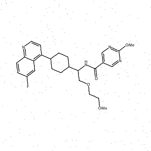 COCCOCC(NC(=O)c1cnc(OC)nc1)C1CCC(c2ccnc3ccc(F)cc23)CC1